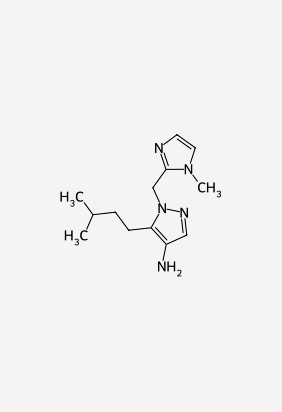 CC(C)CCc1c(N)cnn1Cc1nccn1C